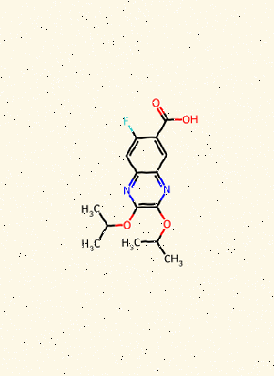 CC(C)Oc1nc2cc(F)c(C(=O)O)cc2nc1OC(C)C